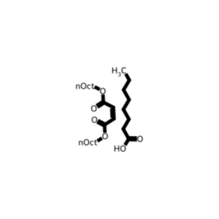 CCCCCCCC(=O)O.CCCCCCCCOC(=O)/C=C\C(=O)OCCCCCCCC